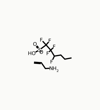 C=CCN.CCCC(F)C(F)(F)C(F)(F)S(=O)(=O)O